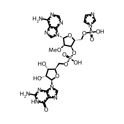 CO[C@@H]1[C@H](OP(=O)(O)OC[C@H]2O[C@@H](n3cnc4c(=O)[nH]c(N)nc43)[C@H](O)[C@@H]2O)[C@@H](COP(=O)(O)n2ccnc2)O[C@H]1n1cnc2c(N)ncnc21